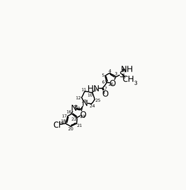 CS(=N)c1ccc(C(=O)NC2CCN(c3nc4cc(Cl)ccc4o3)CC2)o1